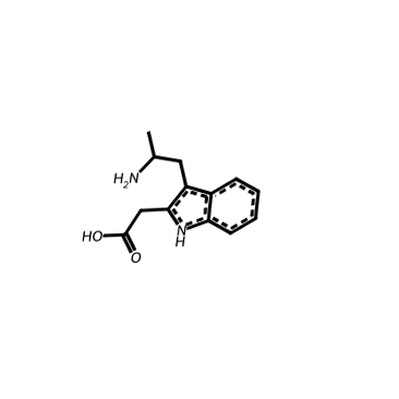 CC(N)Cc1c(CC(=O)O)[nH]c2ccccc12